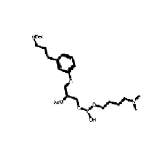 CCCCCCCCCCCCCc1cccc(OCC(COP(O)OCCCCN(C)C)OC(C)=O)c1